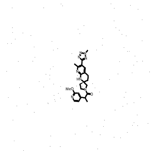 COc1cc(C(C)C(=O)N2CC[C@@]3(CCc4cc(-c5nnn(C)n5)c(C)nc4N3)C2)ccn1